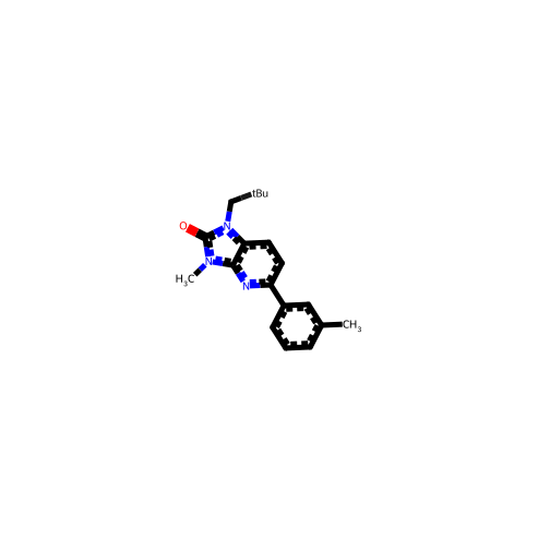 Cc1cccc(-c2ccc3c(n2)n(C)c(=O)n3CC(C)(C)C)c1